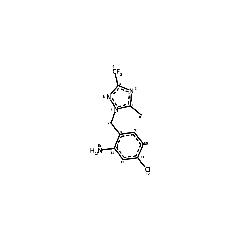 Cc1nc(C(F)(F)F)nn1Cc1ccc(Cl)cc1N